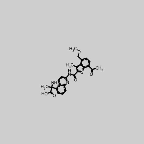 COCc1ccc(C(C)=O)c2sc(C(=O)Nc3ccc4c(C(C)(N)C(=O)O)cccc4n3)c(C)c12